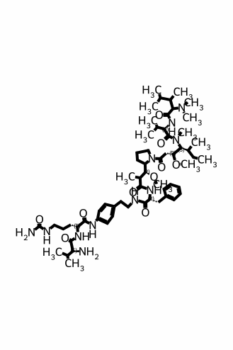 CCC(C)[C@@H]([C@@H](CC(=O)N1CCCC1[C@H](OC)C(C)C(=O)N[C@H](Cc1ccccc1)C(=O)NCCc1ccc(NC(=O)[C@@H](CCCNC(N)=O)NC(=O)[C@@H](N)C(C)C)cc1)OC)N(C)C(=O)[C@H](NC(=O)C(C(C)C(C)C)N(C)C)C(C)C